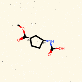 COC(=O)[C@@H]1CC[C@H](NC(=O)O)C1